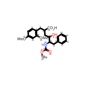 COc1ccc(CC(CC(O)C(Cc2ccccc2)NC(=O)OC(C)(C)C)C(=O)O)c(OC)c1